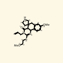 C=CCN1C(=O)C2C(N=C1SCCOC)c1ccc(OC)cc1CC21CCNC1